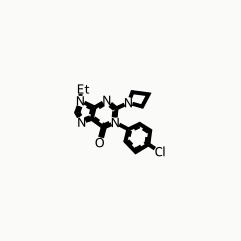 CCn1cnc2c(=O)n(-c3ccc(Cl)cc3)c(N3CCC3)nc21